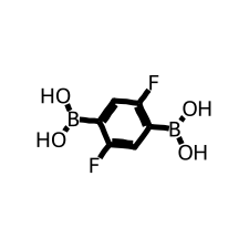 OB(O)c1cc(F)c(B(O)O)cc1F